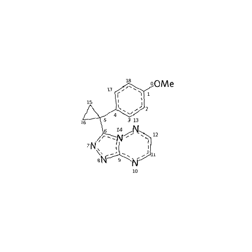 COc1ccc(C2(c3nnc4nccnn34)CC2)cc1